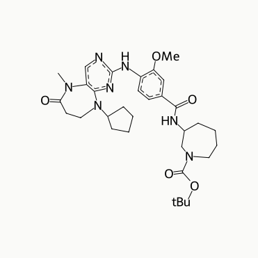 COc1cc(C(=O)NC2CCCCN(C(=O)OC(C)(C)C)C2)ccc1Nc1ncc2c(n1)N(C1CCCC1)CCC(=O)N2C